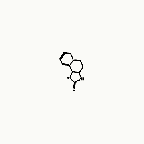 O=C1NC2CCN3CC=CC=C3C2N1